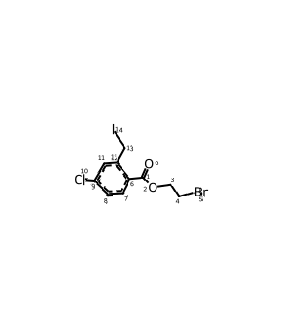 O=C(OCCBr)c1ccc(Cl)cc1CI